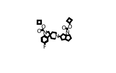 O=C(OC1CCC1)N1CC2(CCN(C3CC4CCC5N(C(=O)OC6CCC6)C45C3)CC2)c2cc(F)ccc21